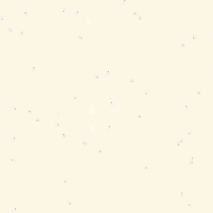 C=C(C)C(=O)OCc1cccc[c]1[Cf]=[C](F)F